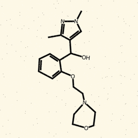 Cc1nn(C)cc1C(O)c1ccccc1OCCN1CCOCC1